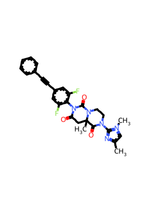 Cc1cn(C)c(N2CCN3C(=O)N(c4c(F)cc(C#Cc5ccccc5)cc4F)C(=O)CC3(C)C2=O)n1